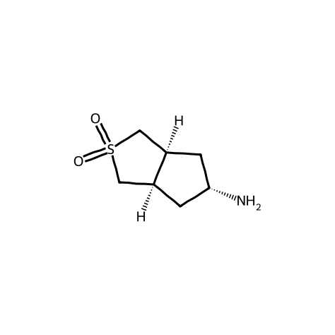 N[C@H]1C[C@@H]2CS(=O)(=O)C[C@@H]2C1